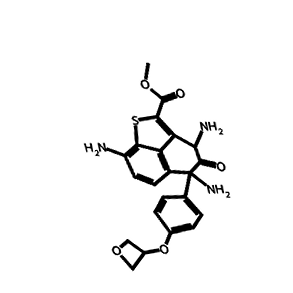 COC(=O)c1sc2c(N)ccc3c2c1C(N)C(=O)C3(N)c1ccc(OC2COC2)cc1